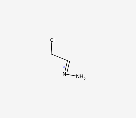 N/N=C/CCl